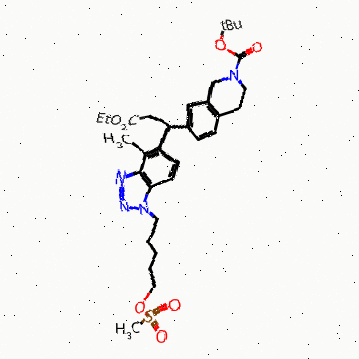 CCOC(=O)CC(c1ccc2c(c1)CN(C(=O)OC(C)(C)C)CC2)c1ccc2c(nnn2CCCCCOS(C)(=O)=O)c1C